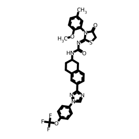 COc1ccc(C)cc1N1C(=O)CS/C1=N\C(=O)NC1CCc2cc(-c3ncn(-c4ccc(OC(F)(F)F)cc4)n3)ccc2C1